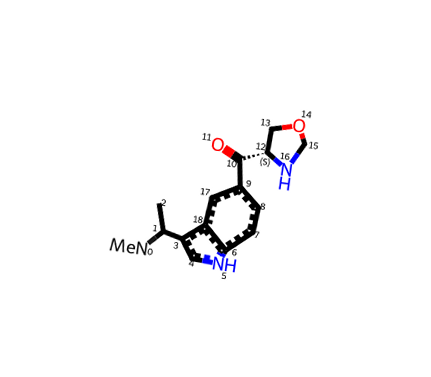 CNC(C)c1c[nH]c2ccc(C(=O)[C@@H]3COCN3)cc12